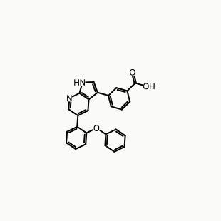 O=C(O)c1cccc(-c2c[nH]c3ncc(-c4ccccc4Oc4ccccc4)cc23)c1